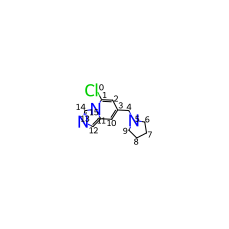 Clc1cc(CN2CCCC2)cc2cncn12